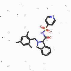 Cc1cc(C)c(CN2Cc3ccccc3C2C(=O)NS(=O)(=O)c2ccncc2)c(C)c1